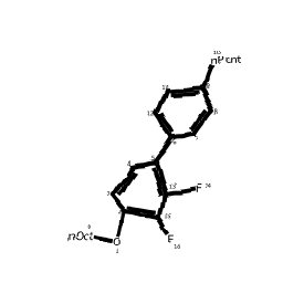 CCCCCCCCOc1ccc(-c2ccc(CCCCC)cc2)c(F)c1F